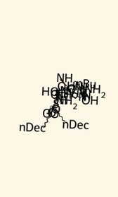 CCCCCCCCCCCCCCCC(=O)OC[C@H](CSC[C@H](N)C(=O)N[C@@H](CO)C(=O)N[C@@H](CCCCN)C(=O)Nc1ccc(Cn2c(O)nc3c(N)nc(NCCCC)nc32)cc1)OC(=O)CCCCCCCCCCCCCCC